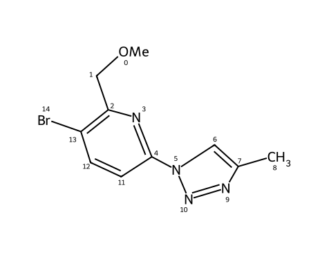 COCc1nc(-n2cc(C)nn2)ccc1Br